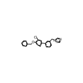 Clc1cc(-c2cccc(Cn3cncn3)c2)ccc1OCc1ccccc1